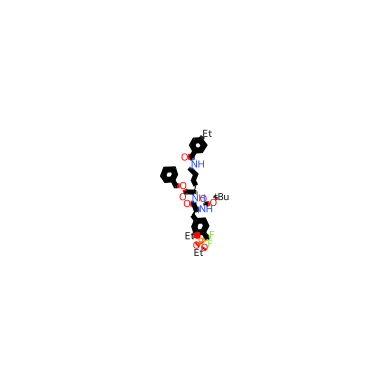 CCOP(=O)(OCC)C(F)(F)c1ccc(C[C@H](NC(=O)OC(C)(C)C)C(=O)N[C@@H](CCCCNC(=O)c2ccc(CC)cc2)C(=O)OCc2ccccc2)cc1